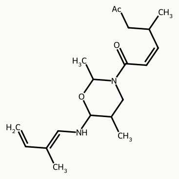 C=C/C(C)=C/NC1OC(C)N(C(=O)/C=C\C(C)CC(C)=O)CC1C